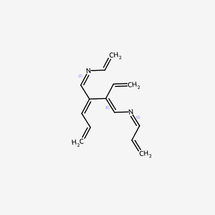 C=CC=C(/C=N\C=C)/C(C=C)=C/N=C\C=C